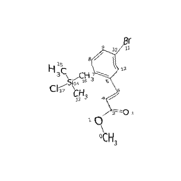 COC(=O)C=Cc1cccc(Br)c1.C[Si](C)(C)Cl